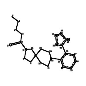 CCCCC(=O)N1CCC2(CCN(c3ccccc3-c3nnn[nH]3)CC2)C1